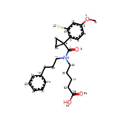 COc1ccc(C2(C(=O)N(CCCCC(=O)O)CCCc3ccccc3)CC2)c(F)c1